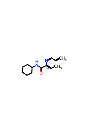 C=C/C=N\C(=C/C)C(=O)NC1CCCCC1